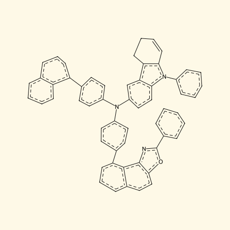 C1=Cc2c(c3cc(N(c4ccc(-c5cccc6ccccc56)cc4)c4ccc(-c5cccc6ccc7oc(-c8ccccc8)nc7c56)cc4)ccc3n2-c2ccccc2)CC1